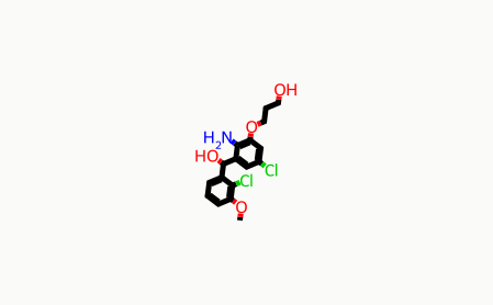 COc1cccc(C(O)c2cc(Cl)cc(OCCCO)c2N)c1Cl